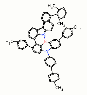 Cc1ccc(-c2ccc(N3c4ccc(-c5ccc(C)cc5)cc4B4c5c3ccc(-c3ccc(C)cc3)c5-c3cccc5c6c7cccc(-c8c(C)cccc8C)c7ccc6n4c35)cc2)cc1